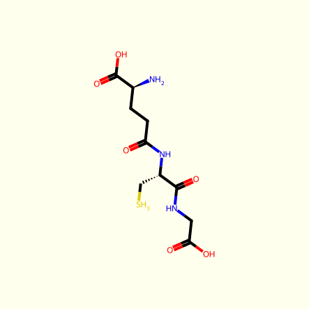 N[C@@H](CCC(=O)N[C@@H](C[SH3])C(=O)NCC(=O)O)C(=O)O